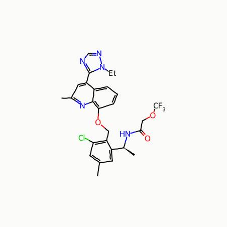 CCn1ncnc1-c1cc(C)nc2c(OCc3c(Cl)cc(C)cc3[C@H](C)NC(=O)COC(F)(F)F)cccc12